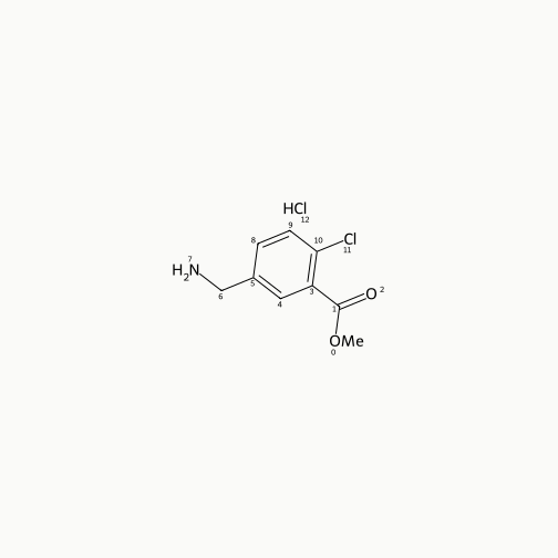 COC(=O)c1cc(CN)ccc1Cl.Cl